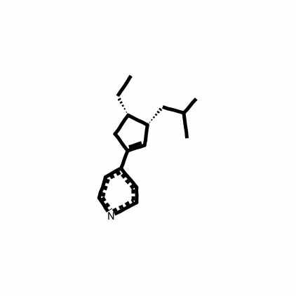 CC[C@H]1CC(c2ccncc2)=C[C@H]1CC(C)C